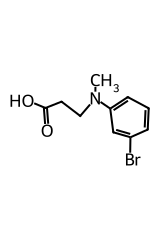 CN(CCC(=O)O)c1cccc(Br)c1